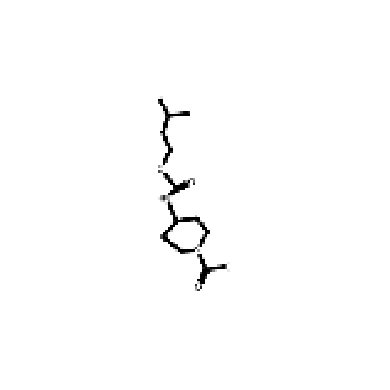 CC(C)CCOC(=O)NC1CCN(C(=O)Cl)CC1